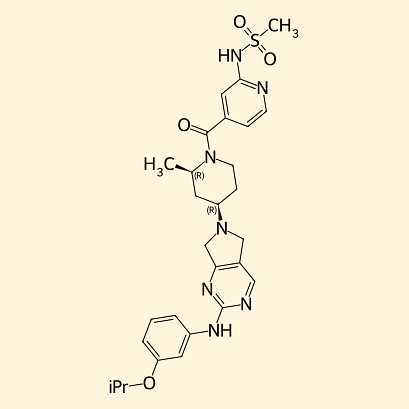 CC(C)Oc1cccc(Nc2ncc3c(n2)CN([C@@H]2CCN(C(=O)c4ccnc(NS(C)(=O)=O)c4)[C@H](C)C2)C3)c1